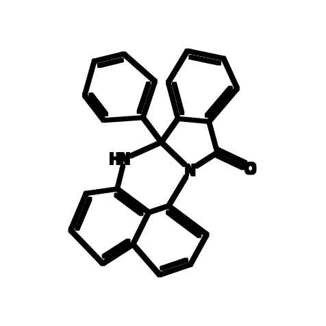 O=C1c2ccccc2C2(c3ccccc3)Nc3cccc4cccc(c34)N12